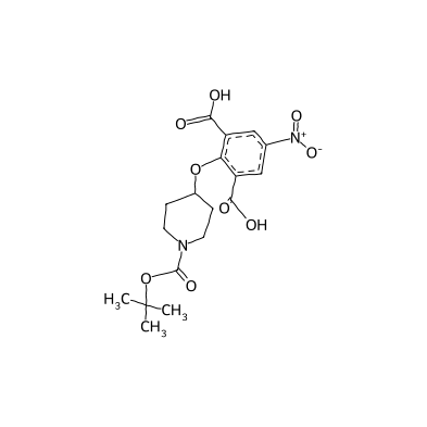 CC(C)(C)OC(=O)N1CCC(Oc2c(C(=O)O)cc([N+](=O)[O-])cc2C(=O)O)CC1